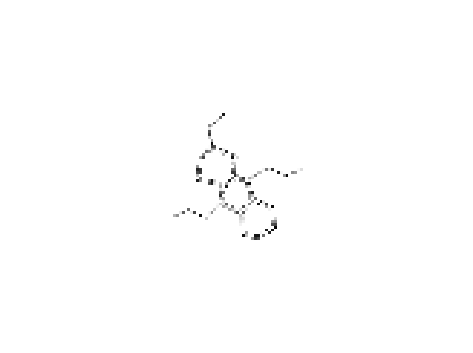 CCCc1c2ccccc2c(CCC)c2cc(CC)ccc12